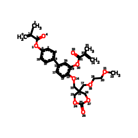 C=C(C)C(=O)Oc1ccc(-c2ccc(OCC3(COCCOC)COC(=O)OC3)c(OC(=O)C(=C)C)c2)cc1